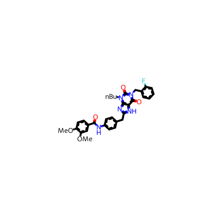 CCCCn1c(=O)n(Cc2ccccc2F)c(=O)c2[nH]c(Cc3ccc(NC(=O)c4ccc(OC)c(OC)c4)cc3)nc21